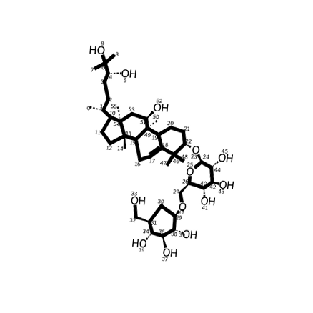 C[C@H](CC[C@@H](O)C(C)(C)O)C1CC[C@@]2(C)C3CC=C4C(CC[C@H](O[C@@H]5O[C@H](CO[C@@H]6C[C@H](CO)[C@@H](O)[C@H](O)[C@H]6O)[C@@H](O)[C@H](O)[C@H]5O)C4(C)C)[C@]3(C)[C@H](O)C[C@]12C